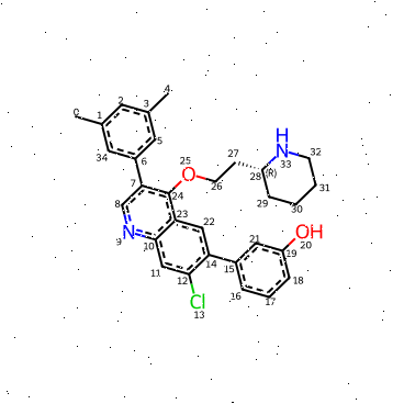 Cc1cc(C)cc(-c2cnc3cc(Cl)c(-c4cccc(O)c4)cc3c2OCC[C@H]2CCCCN2)c1